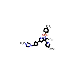 COc1ccc(-c2c(C)n(S(=O)(=O)c3ccc(C)cc3)c3ncc(-c4ccc(CN5CCN(C)CC5)cc4)cc23)nc1